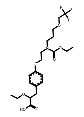 CCOC(=O)N(CCCOCC(F)(F)F)CCOc1ccc(CC(OCC)C(=O)O)cc1